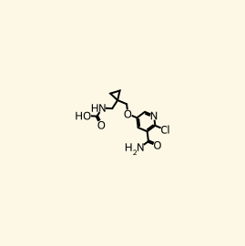 NC(=O)c1cc(OCC2(CNC(=O)O)CC2)cnc1Cl